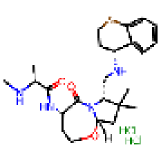 CN[C@@H](C)C(=O)N[C@H]1CCO[C@H]2CC(C)(C)[C@@H](CN[C@@H]3CCSc4ccccc43)N2C1=O.Cl.Cl